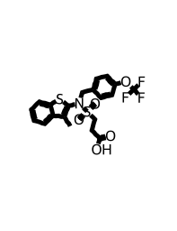 Cc1c(N(Cc2ccc(OC(F)(F)F)cc2)S(=O)(=O)CCC(=O)O)sc2ccccc12